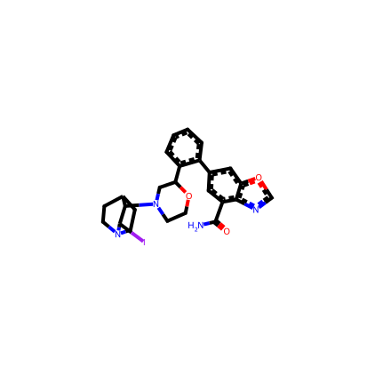 NC(=O)c1cc(-c2ccccc2C2CN(C3C4CCN(CC4)C3I)CCO2)cc2ocnc12